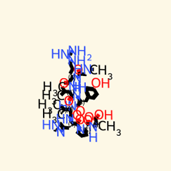 CC[C@H](C)[C@H](NC(=O)[C@H](Cc1ccc(O)cc1)NC(=O)[C@@H](NC(=O)[C@H](CCCNC(=N)N)NC(=O)CNC)C(C)C)C(=O)N[C@@H](Cc1c[nH]cn1)C(=O)N1CCC[C@H]1C(=O)N[C@@H](C)C(=O)O